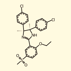 CCOc1ccc(S(C)(=O)=O)cc1C1=N[C@@](C)(c2ccc(Cl)cc2)[C@@](C)(c2ccc(Cl)cc2)N1